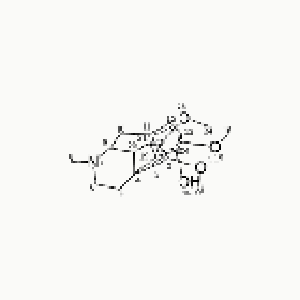 COC1=CC23CCN(C)C(Cc4ccc(OC)c(O)c42)C3CC1OC